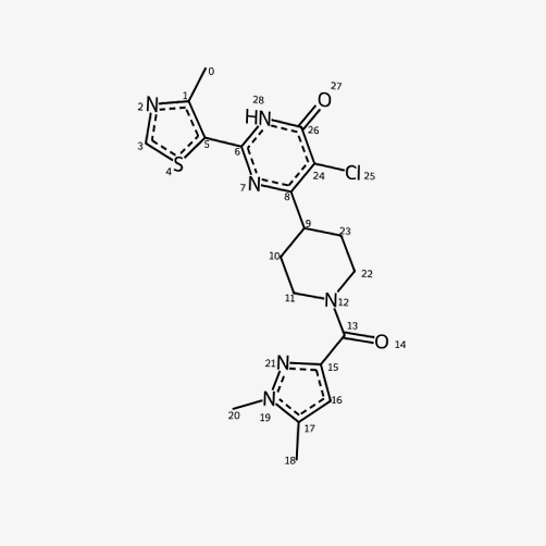 Cc1ncsc1-c1nc(C2CCN(C(=O)c3cc(C)n(C)n3)CC2)c(Cl)c(=O)[nH]1